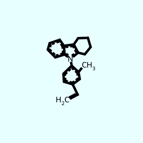 C=Cc1ccc(-n2c3c(c4ccccc42)CCCC3)c(C)c1